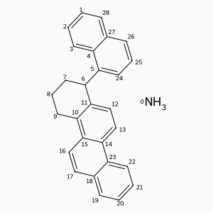 N.c1ccc2c(C3CCCc4c3ccc3c4ccc4ccccc43)cccc2c1